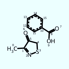 CC1=NSCC1=O.O=C(O)c1ccccc1